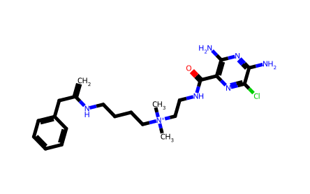 C=C(Cc1ccccc1)NCCCC[N+](C)(C)CCNC(=O)c1nc(Cl)c(N)nc1N